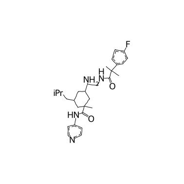 CC(C)CC1CC(C(N)CNC(=O)C(C)(C)c2ccc(F)cc2)CC(C)(C(=O)Nc2ccncc2)C1